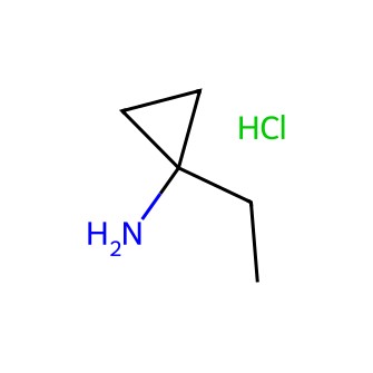 CCC1(N)CC1.Cl